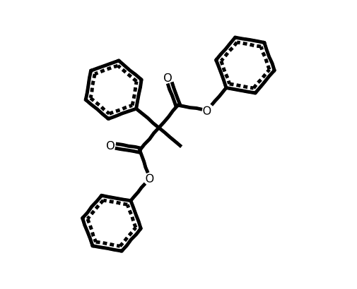 CC(C(=O)Oc1ccccc1)(C(=O)Oc1ccccc1)c1ccccc1